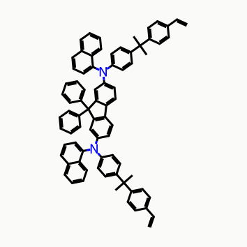 C=Cc1ccc(C(C)(C)c2ccc(N(c3ccc4c(c3)C(c3ccccc3)(c3ccccc3)c3cc(N(c5ccc(C(C)(C)c6ccc(C=C)cc6)cc5)c5cccc6ccccc56)ccc3-4)c3cccc4ccccc34)cc2)cc1